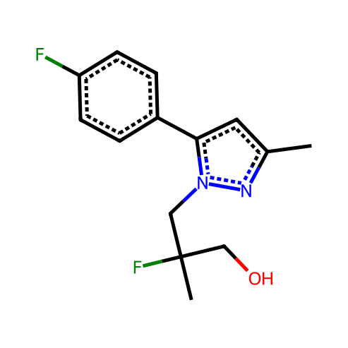 Cc1cc(-c2ccc(F)cc2)n(CC(C)(F)CO)n1